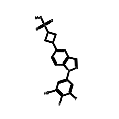 CNS(=O)(=O)C1CN(c2ccc3c(cnn3-c3cc(O)c(F)c(F)c3)c2)C1